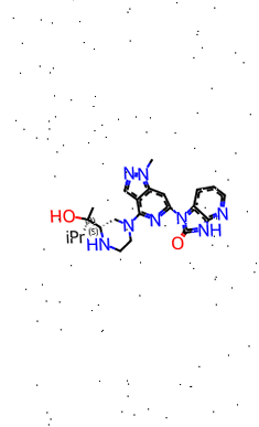 CC(C)[C@@](C)(O)[C@@H]1CN(c2nc(-n3c(=O)[nH]c4ncccc43)cc3c2cnn3C)CCN1